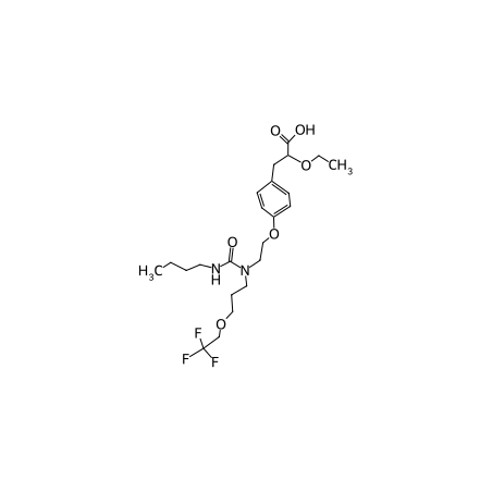 CCCCNC(=O)N(CCCOCC(F)(F)F)CCOc1ccc(CC(OCC)C(=O)O)cc1